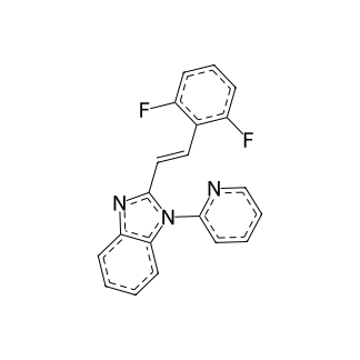 Fc1cccc(F)c1/C=C/c1nc2ccccc2n1-c1ccccn1